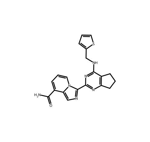 NC(=O)c1cccn2c(-c3nc4c(c(NCc5cccs5)n3)CCC4)ncc12